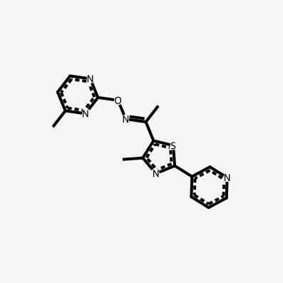 C/C(=N\Oc1nccc(C)n1)c1sc(-c2cccnc2)nc1C